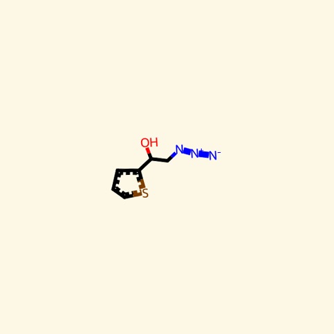 [N-]=[N+]=NCC(O)c1cccs1